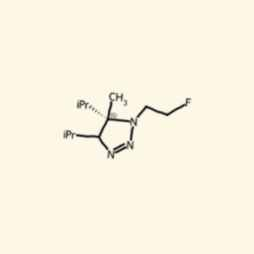 CC(C)C1N=NN(CCF)[C@@]1(C)C(C)C